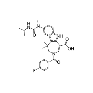 CC(C)NC(=O)N(C)c1ccc2[nH]c3c(c2c1)C(C)(C)CN(C(=O)c1ccc(F)cc1)C=C3C(=O)O